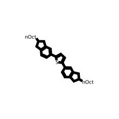 CCCCCCCCC1Cc2ccc(-c3ccc(-c4ccc5c(c4)CC(CCCCCCCC)C5)s3)cc2C1